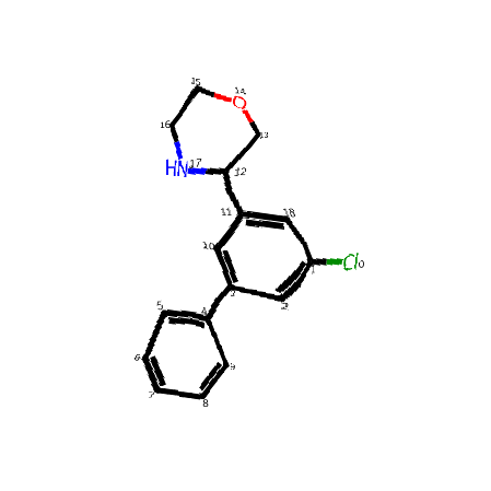 Clc1cc(-c2ccccc2)cc(C2COCCN2)c1